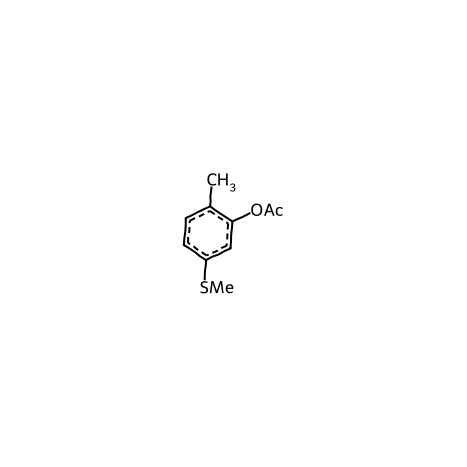 CSc1ccc(C)c(OC(C)=O)c1